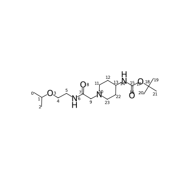 CC(C)OCCNC(=O)CN1CCC(NC(=O)OC(C)(C)C)CC1